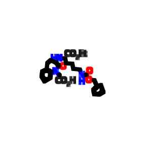 CCOC(=O)[C@H](CCCCNC(=O)OCc1ccccc1)N[C@H]1CCc2ccccc2N(CC(=O)O)C1=O